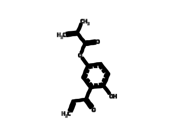 C=CC(=O)c1cc(OC(=O)C(=C)C)ccc1O